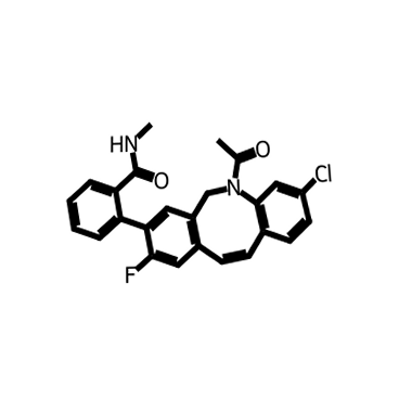 CNC(=O)c1ccccc1-c1cc2c(cc1F)C=Cc1ccc(Cl)cc1N(C(C)=O)C2